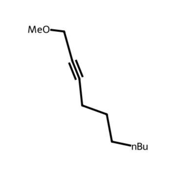 [CH2]CCCCCCC#CCOC